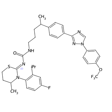 CC(C)c1cc(F)ccc1N1/C(=N/C(=O)NCCCC(C)c2ccc(-c3ncn(-c4ccc(OC(F)(F)F)cc4)n3)cc2)SCCC1C